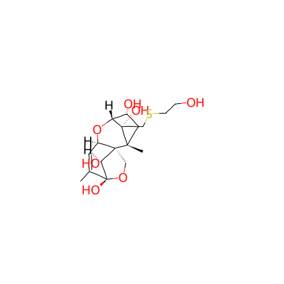 CC1=C[C@H]2O[C@@H]3[C@H](O)C[C@](C)([C@]24CO[C@@]1(O)[C@H]4O)[C@]3(O)CSCCO